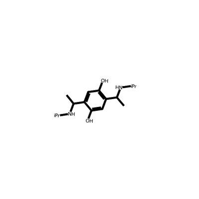 CC(C)NC(C)c1cc(O)c(C(C)NC(C)C)cc1O